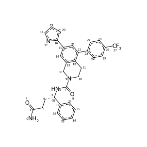 NC(=O)CC[C@H](NC(=O)N1CCc2c(cc(-c3nccs3)cc2-c2ccc(C(F)(F)F)cc2)C1)c1ccccc1